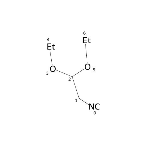 [C-]#[N+]CC(OCC)OCC